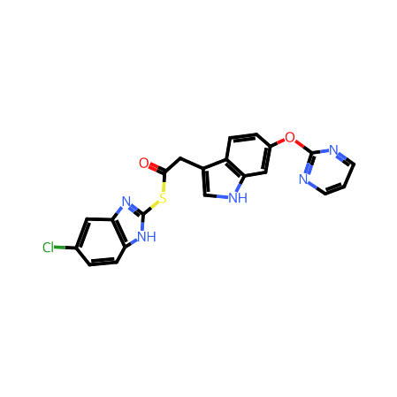 O=C(Cc1c[nH]c2cc(Oc3ncccn3)ccc12)Sc1nc2cc(Cl)ccc2[nH]1